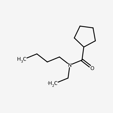 [CH2]CN(CCCC)C(=O)C1CCCC1